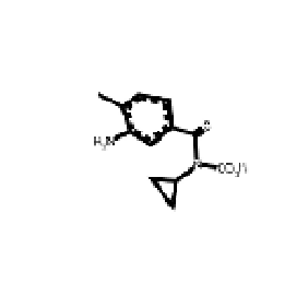 Cc1ccc(C(=O)N(C(=O)O)C2CC2)cc1N